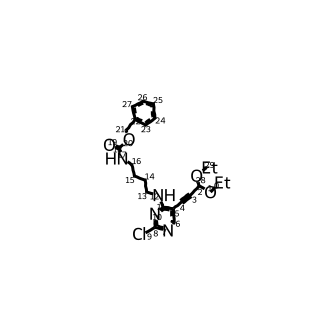 CCOC(C#Cc1cnc(Cl)nc1NCCCCNC(=O)OCc1ccccc1)OCC